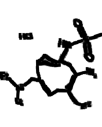 CCc1cc(N(CC)CC)cc(NS(C)(=O)=O)c1N.Cl